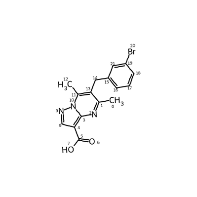 Cc1nc2c(C(=O)O)cnn2c(C)c1Cc1cccc(Br)c1